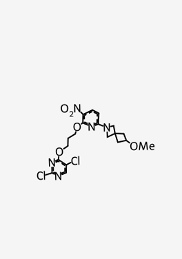 COC1CC2(C1)CN(c1ccc([N+](=O)[O-])c(OCCCOc3nc(Cl)ncc3Cl)n1)C2